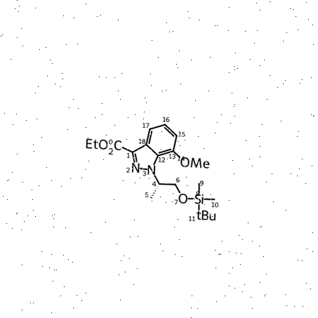 CCOC(=O)c1nn([C@@H](C)CO[Si](C)(C)C(C)(C)C)c2c(OC)cccc12